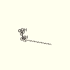 CCC=CCC=CCC=CCC=CCC=CCC=CCCCSC(CC)(CC)C(=O)NCCOC(=O)c1ccccc1O